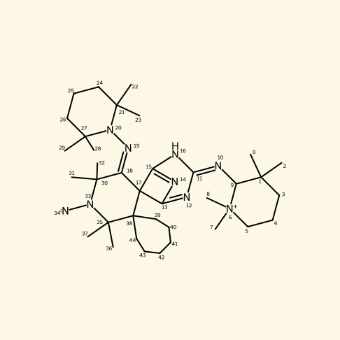 CC1(C)CCC[N+](C)(C)C1N=c1nc2nc([nH]1)C21C(=NN2C(C)(C)CCCC2(C)C)C(C)(C)N([N])C(C)(C)C12CCCCCC2